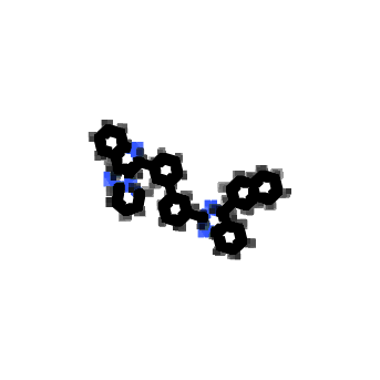 c1cc(-c2cccc(-c3nc4ccccc4c4nc5ccccn5c34)c2)cc(-c2nc(-c3ccc4ccccc4c3)c3ccccc3n2)c1